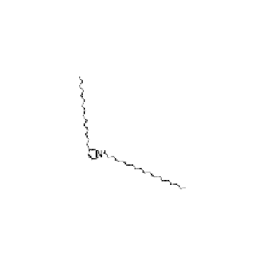 CCCCCCCCCCCCCCCCCCC[n+]1cccc(CCCCCCCCCCCCCCC)c1